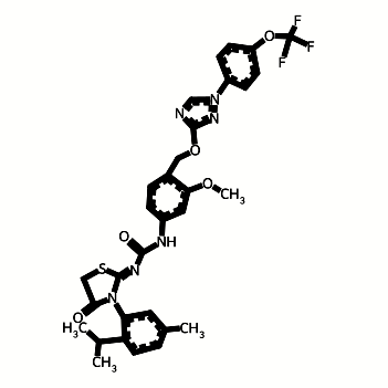 COc1cc(NC(=O)/N=C2\SCC(=O)N2c2cc(C)ccc2C(C)C)ccc1COc1ncn(-c2ccc(OC(F)(F)F)cc2)n1